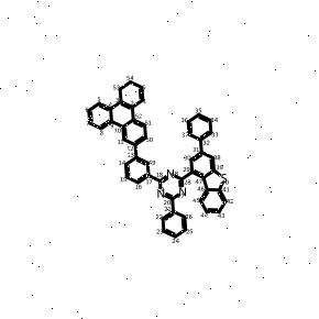 C1=Cc2c(c3ccccc3c3cc(-c4cccc(-c5nc(-c6ccccc6)nc(-c6cc(-c7ccccc7)cc7sc8ccccc8c67)n5)c4)ccc23)CC1